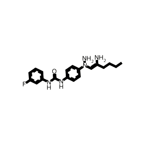 CCCC/C(N)=C/N(N)c1ccc(NC(=O)Nc2cccc(F)c2)cc1